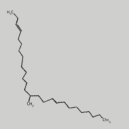 CCC=CCCCCCCCCCC(C)CCCCCCCCCCCC